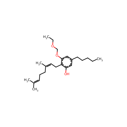 CCCCCc1cc(O)c(CC=C(C)CCC=C(C)C)c(OCOCC)c1